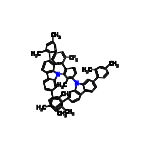 Cc1ccc(-c2ccc3c4ccc(-c5ccc(C)cc5C)cc4n(-c4ccc(-c5ccccc5C(F)(F)F)c(-n5c6cc(-c7ccc(C)cc7C)ccc6c6ccc(-c7ccc(C)cc7C)cc65)c4C)c3c2)c(C)c1